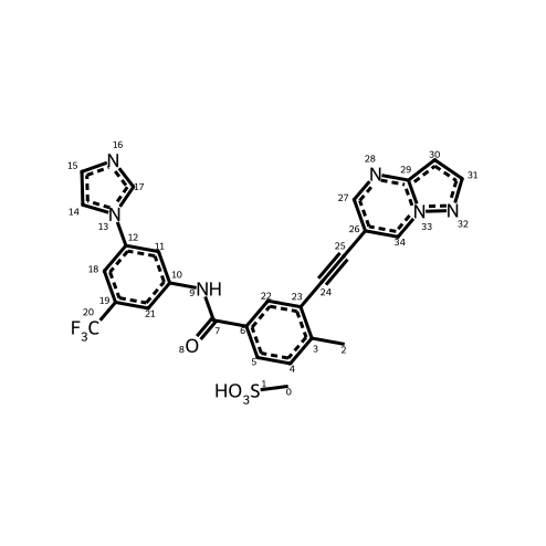 CS(=O)(=O)O.Cc1ccc(C(=O)Nc2cc(-n3ccnc3)cc(C(F)(F)F)c2)cc1C#Cc1cnc2ccnn2c1